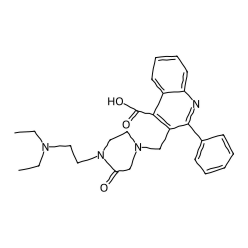 CCN(CC)CCN1CCN(Cc2c(-c3ccccc3)nc3ccccc3c2C(=O)O)CC1=O